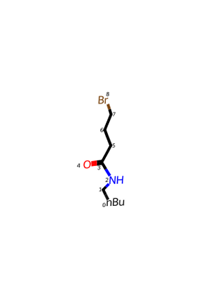 CCCCCNC(=O)CCCBr